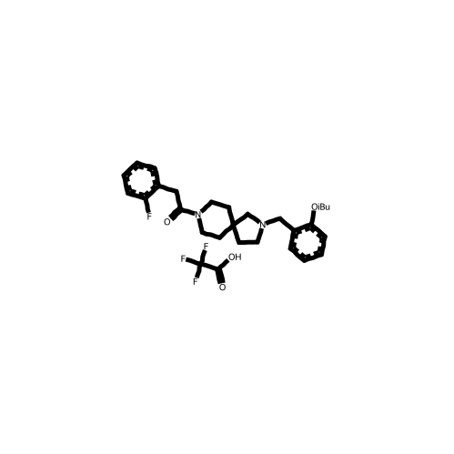 CC(C)COc1ccccc1CN1CCC2(CCN(C(=O)Cc3ccccc3F)CC2)C1.O=C(O)C(F)(F)F